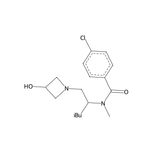 CCC(C)C(CN1CC(O)C1)N(C)C(=O)c1ccc(Cl)cc1